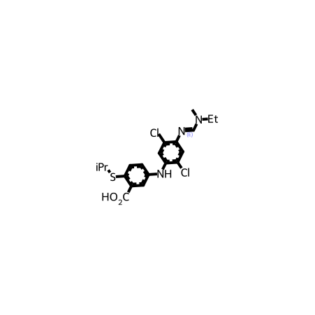 CCN(C)/C=N/c1cc(Cl)c(Nc2ccc(SC(C)C)c(C(=O)O)c2)cc1Cl